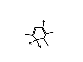 [2H]C1=C(C)C(C)C([2H])(O)C(C)=C1